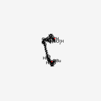 CC(C(=O)N[C@H](C(=O)N1CCCC1c1nc(C(=O)c2cccc(OCCCCCCCCCCCC(=O)Nc3ccc(C(=O)Nc4ccccc4NC(=O)OC(C)(C)C)cc3)c2)cs1)C1CCCCC1)N(C)C(=O)O